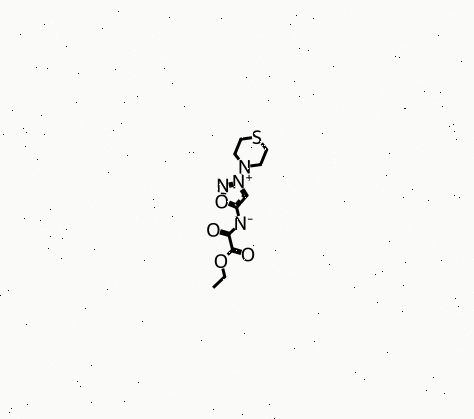 CCOC(=O)C(=O)[N-]c1c[n+](N2CCSCC2)no1